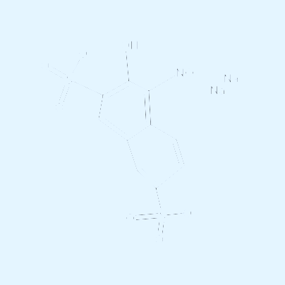 O=Nc1c(O)c(S(=O)(=O)[O-])cc2cc(S(=O)(=O)[O-])ccc12.[Na+].[Na+]